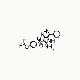 Nc1[nH]c2c(C3=CCCCC3)ncnc2c1S(=O)(=O)c1ccc(OC(F)F)cc1